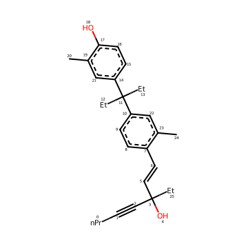 CCCC#CC(O)(/C=C/c1ccc(C(CC)(CC)c2ccc(O)c(C)c2)cc1C)CC